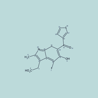 CC1=C(CC(=O)O)C2=C(F)C(O)=C(C(=O)c3ccsc3)CC2=N1